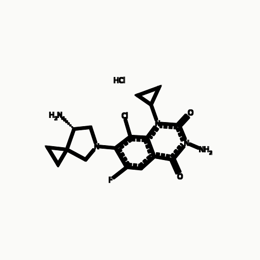 Cl.N[C@@H]1CN(c2c(F)cc3c(=O)n(N)c(=O)n(C4CC4)c3c2Cl)CC12CC2